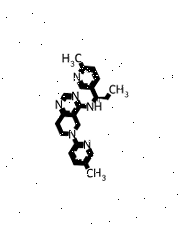 CC[C@@H](Nc1ncnc2c1CN(c1ccc(C)cn1)CC2)c1ccc(C)nc1